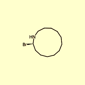 Br[C@@H]1CCCCCCCCCCCN1